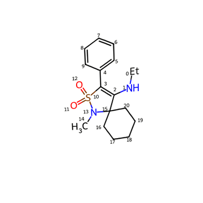 CCNC1=C(c2ccccc2)S(=O)(=O)N(C)C12CCCCC2